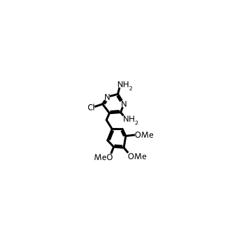 COc1cc(Cc2c(N)nc(N)nc2Cl)cc(OC)c1OC